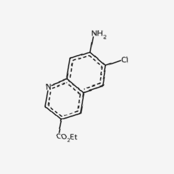 CCOC(=O)c1cnc2cc(N)c(Cl)cc2c1